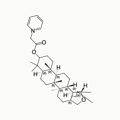 CC1(C)CC[C@]23CC[C@]4(C)[C@H](CC[C@@H]5[C@@]6(C)CCC(OC(=O)C[n+]7ccccc7)C(C)(C)[C@@H]6CC[C@]54C)[C@H]2[C@H]1OC3